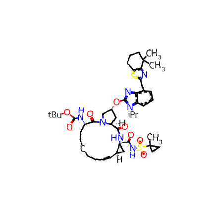 CC(C)n1c(O[C@@H]2C[C@H]3C(=O)N[C@]4(C(=O)NS(=O)(=O)C5(C)CC5)C[C@H]4/C=C\CCCCC[C@H](NC(=O)OC(C)(C)C)C(=O)N3C2)nc2c(-c3nc4c(s3)CCCC4(C)C)cccc21